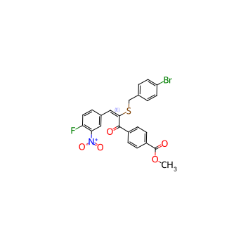 COC(=O)c1ccc(C(=O)/C(=C\c2ccc(F)c([N+](=O)[O-])c2)SCc2ccc(Br)cc2)cc1